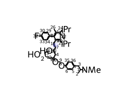 CNC(C)Cc1ccc(OCO[C@@H](CC(=O)O)C[C@H](O)/C=C/c2c(C(C)C)nc(C(C)C)c(C)c2-c2ccc(F)cc2)cc1